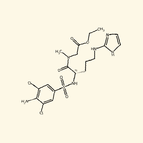 CCOC(=O)CN(C)C(=O)[C@H](CCCNc1ncc[nH]1)NS(=O)(=O)c1cc(Cl)c(N)c(Cl)c1